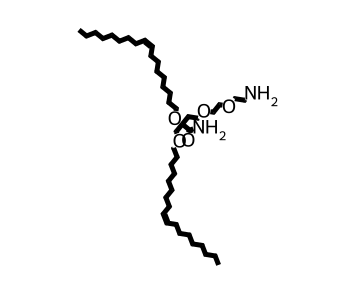 CCCCCCCC/C=C\CCCCCCCCOCC(CCOCCOCCN)(OCCCCCCCC/C=C\CCCCCCCC)C(N)=O